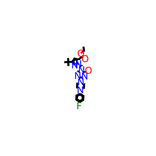 CCOC(=O)c1cc(C(C)(C)C)nn1Cn1cnc(N2CCN(c3ccc(F)cc3)CC2)nc1=O